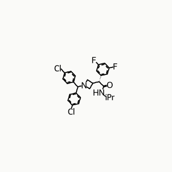 CC(C)NC(=O)[C@@H](c1cc(F)cc(F)c1)C1CN(C(c2ccc(Cl)cc2)c2ccc(Cl)cc2)C1